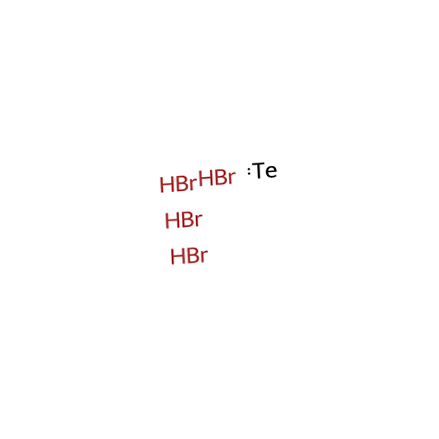 Br.Br.Br.Br.[Te]